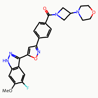 COc1cc2[nH]nc(-c3cc(-c4ccc(C(=O)N5CC(N6CCOCC6)C5)cc4)no3)c2cc1F